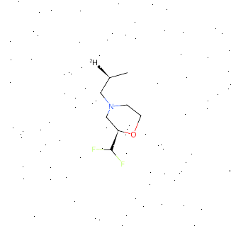 [2H][C@@H](C)CN1CCO[C@@H](C(F)F)C1